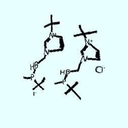 CP(BCn1cc[n+](C(C)(C)C)c1)C(C)(C)C.CP(BCn1cc[n+](C(C)(C)C)c1)C(C)(C)C.[Cl-].[I-]